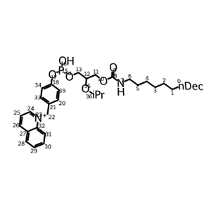 CCCCCCCCCCCCCCCCNC(=O)OCC(COP(O)Oc1ccc(C[n+]2cccc3ccccc32)cc1)OC(C)C